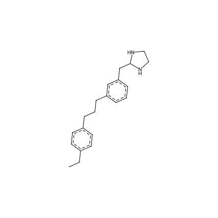 CCc1ccc(CCCc2cccc(CC3NCCN3)c2)cc1